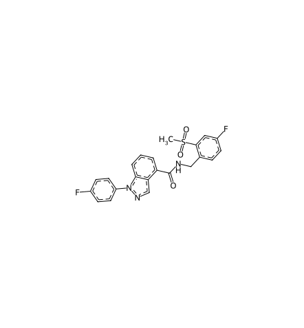 CS(=O)(=O)c1cc(F)ccc1CNC(=O)c1cccc2c1cnn2-c1ccc(F)cc1